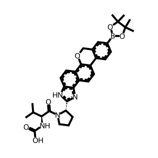 CC(C)[C@H](NC(=O)O)C(=O)N1CCC[C@H]1c1nc2c(ccc3c4c(ccc32)-c2ccc(B3OC(C)(C)C(C)(C)O3)cc2CO4)[nH]1